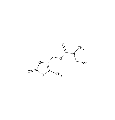 CC(=O)CN(C)C(=O)OCc1oc(=O)oc1C